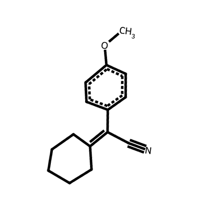 COc1ccc(C(C#N)=C2CCCCC2)cc1